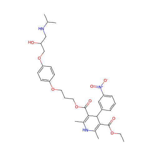 CCOC(=O)C1=C(C)NC(C)=C(C(=O)OCCCOc2ccc(OCC(O)CNC(C)C)cc2)C1c1cccc([N+](=O)[O-])c1